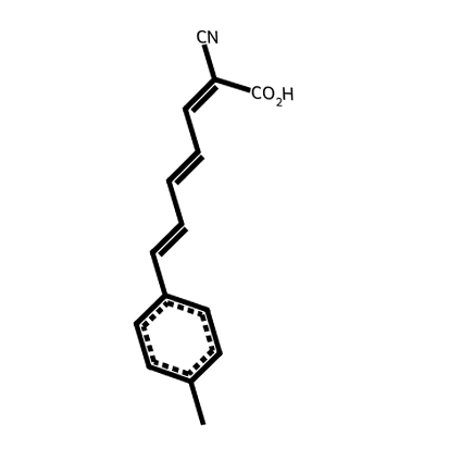 Cc1ccc(C=CC=CC=C(C#N)C(=O)O)cc1